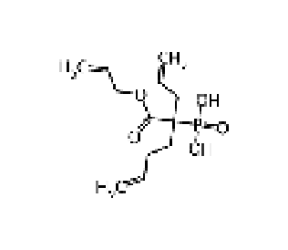 C=CCCC(CC=C)(C(=O)OCC=C)P(=O)(O)O